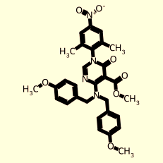 COC(=O)c1c(N(Cc2ccc(OC)cc2)Cc2ccc(OC)cc2)ncn(-c2c(C)cc([N+](=O)[O-])cc2C)c1=O